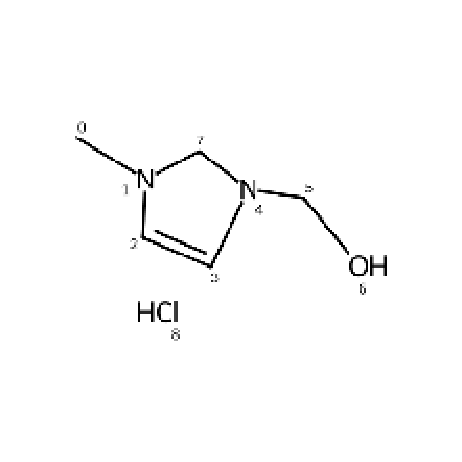 CN1C=CN(CO)C1.Cl